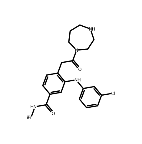 CC(C)NC(=O)c1ccc(CC(=O)N2CCCNCC2)c(Nc2cccc(Cl)c2)c1